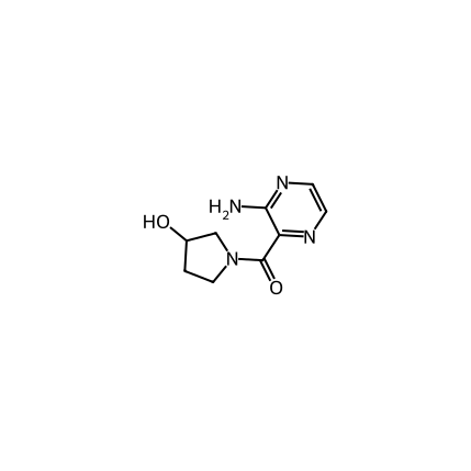 Nc1nccnc1C(=O)N1CCC(O)C1